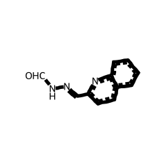 O=CNN=Cc1ccc2ccccc2n1